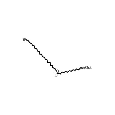 CCCCCCCCC=CCCCCCCCCCCCC(=O)OCCCCCCCCCCCCCCCCCCCCCCC(C)C